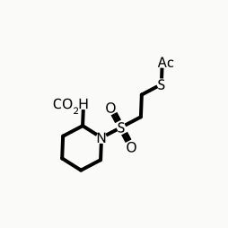 CC(=O)SCCS(=O)(=O)N1CCCCC1C(=O)O